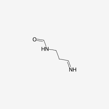 N=CCCNC=O